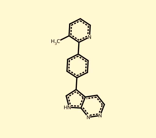 Cc1cccnc1-c1ccc(-c2c[nH]c3nnccc23)cc1